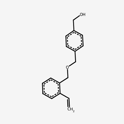 C=Cc1ccccc1COCc1ccc(CO)cc1